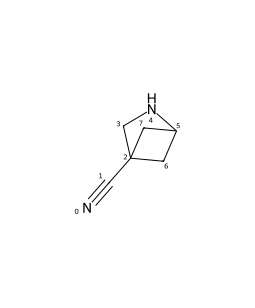 N#CC12CNC(C1)C2